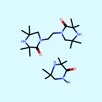 CC(C)N1CC(C)(C)NC(C)(C)C1=O.CC1(C)CN(CCN2CC(C)(C)NC(C)(C)C2=O)C(=O)C(C)(C)N1